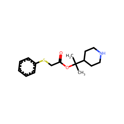 CC(C)(OC(=O)CSc1ccccc1)C1CCNCC1